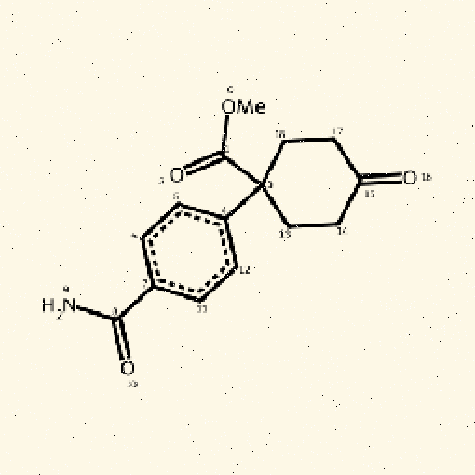 COC(=O)C1(c2ccc(C(N)=O)cc2)CCC(=O)CC1